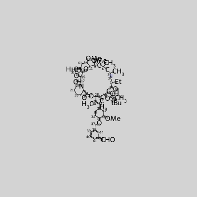 CCC1/C=C(\C)CC(C)CC(OC)C2OC(O)(C(=O)C(=O)N3CCCCC3C(=O)OC(C(C)=CC3CCC(OCc4cccc(C=O)c4)C(OC)C3)C(C)C(O[Si](C)(C)C(C)(C)C)CC1=O)C(C)CC2OC